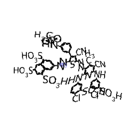 Cc1c(C#N)c(Nc2ccc(Cl)c(S(=O)(=O)O)c2)nc(Nc2ccc(Cl)c(S(=O)(=O)O)c2)c1N=Nc1sc(/N=N/c2cc(S(=O)(=O)O)c3cc(S(=O)(=O)O)cc(S(=O)(=O)O)c3c2)c(-c2cccc(NS(C)(=O)=O)c2)c1C#N